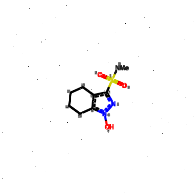 CNS(=O)(=O)c1nn(O)c2c1CCCC2